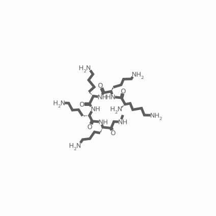 CNCC(=O)[C@H](CCCCN)NC(=O)[C@H](CCCCN)NC(=O)[C@H](CCCCN)NC(=O)[C@H](CCCCN)NC(=O)[C@@H](N)CCCCN